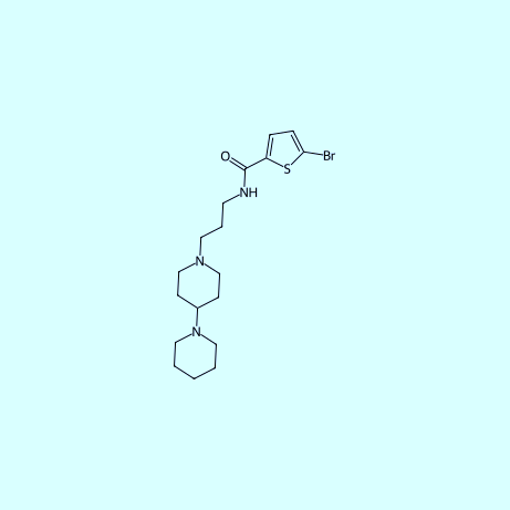 O=C(NCCCN1CCC(N2CCCCC2)CC1)c1ccc(Br)s1